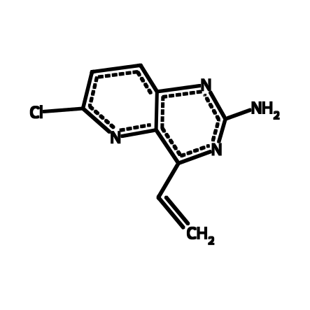 C=Cc1nc(N)nc2ccc(Cl)nc12